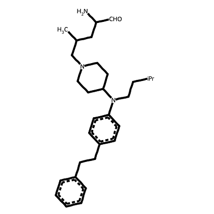 CC(C)CCN(c1ccc(CCc2ccccc2)cc1)C1CCN(CC(C)CC(N)C=O)CC1